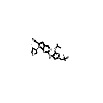 CC(C)Oc1nn(CC(F)(F)F)cc1Nc1ncc2cc(C#N)n([C@H]3COC[C@@H]3C)c2n1